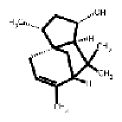 CC1=CC[C@@]23C[C@@H]1C(C)(C)[C@@H]2[C@@H](O)C[C@H]3C